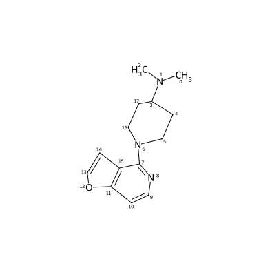 CN(C)C1CCN(c2nccc3occc23)CC1